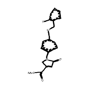 COC(=O)C1CC(=O)N(c2ccc(OCc3ccccc3F)cc2)C1